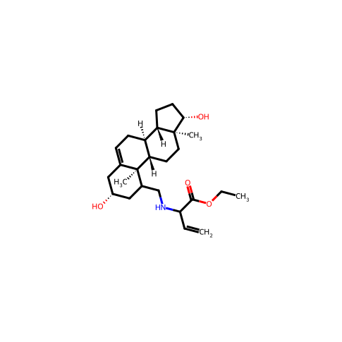 C=CC(NCC1C[C@H](O)CC2=CC[C@H]3[C@@H]4CC[C@H](O)[C@@]4(C)CC[C@@H]3[C@]21C)C(=O)OCC